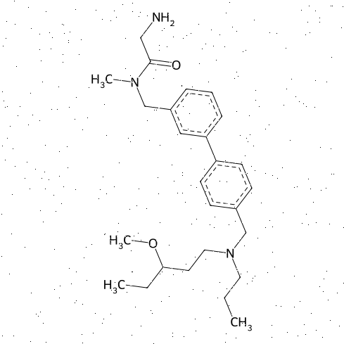 CCCN(CCC(CC)OC)Cc1ccc(-c2cccc(CN(C)C(=O)CN)c2)cc1